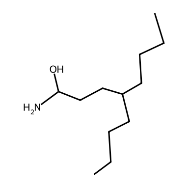 CCCCC(CCCC)CCC(N)O